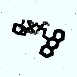 C[Si](C)(OCc1c2ccccc2cc2ccccc12)O[Si](C)(C)C1CC2C=C[C@@H]1C2